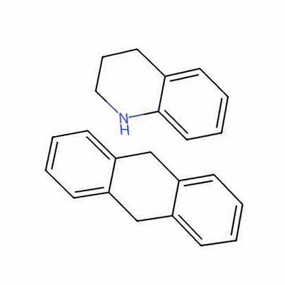 c1ccc2c(c1)CCCN2.c1ccc2c(c1)Cc1ccccc1C2